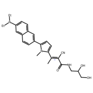 CCN(CC)c1ccc2cc(-c3ccc(/C(C)=C(\C#N)C(=O)NCC(O)CO)n3C)ccc2c1